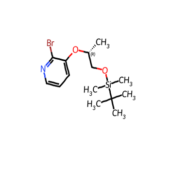 C[C@H](CO[Si](C)(C)C(C)(C)C)Oc1cccnc1Br